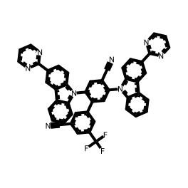 N#Cc1cc(-c2cc(-n3c4ccccc4c4cc(-c5ncccn5)ccc43)c(C#N)cc2-n2c3ccccc3c3cc(-c4ncccn4)ccc32)cc(C(F)(F)F)c1